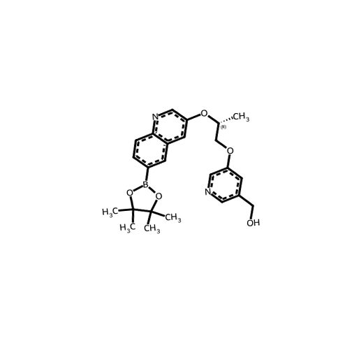 C[C@H](COc1cncc(CO)c1)Oc1cnc2ccc(B3OC(C)(C)C(C)(C)O3)cc2c1